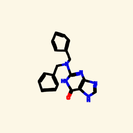 O=c1[nH]c(N(Cc2ccccc2)Cc2ccccc2)nc2nc[nH]c12